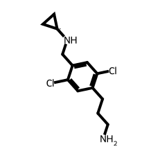 NCCCc1cc(Cl)c(CN[C]2CC2)cc1Cl